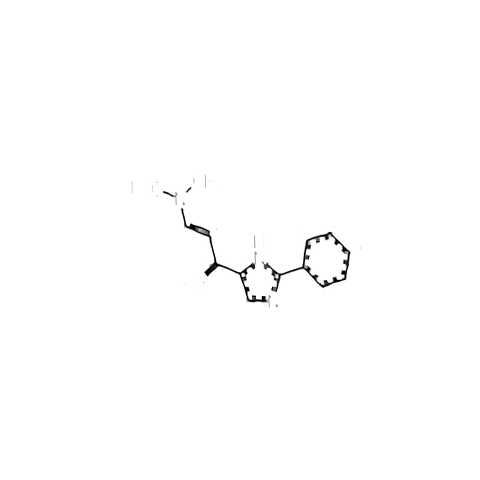 CN(C)/C=C/C(=O)c1cnc(-c2ccccc2)[nH]1